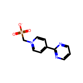 O=S(=O)([O-])C[n+]1ccc(-c2ncccn2)cc1